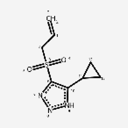 C=CCS(=O)(=O)c1nn[nH]c1C1CC1